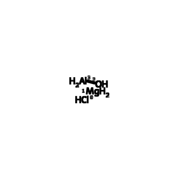 Cl.[MgH2].[OH][AlH2]